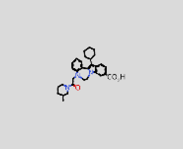 CC1CCCN(C(=O)CN2CCn3c(c(C4CCCCC4)c4ccc(C(=O)O)cc43)-c3ccccc32)C1